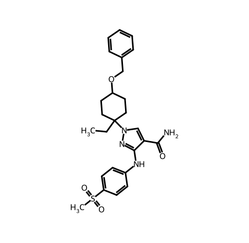 CCC1(n2cc(C(N)=O)c(Nc3ccc(S(C)(=O)=O)cc3)n2)CCC(OCc2ccccc2)CC1